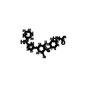 CC(=O)Nc1ccc(Sc2c(C)cc(-c3csc(Nc4cnccn4)n3)cc2C)cc1